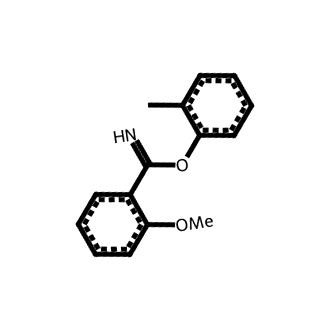 COc1ccccc1C(=N)Oc1ccccc1C